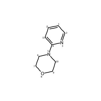 [c]1ccnc(N2CCOCC2)c1